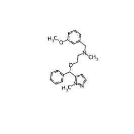 COc1cccc(CN(C)CCOC(c2ccccc2)c2ccnn2C)c1